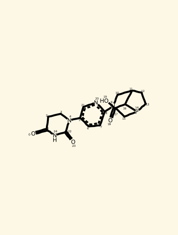 O=C1CCN(c2ccc(N3CC4CCP(C3)C4C(=O)O)nc2)C(=O)N1